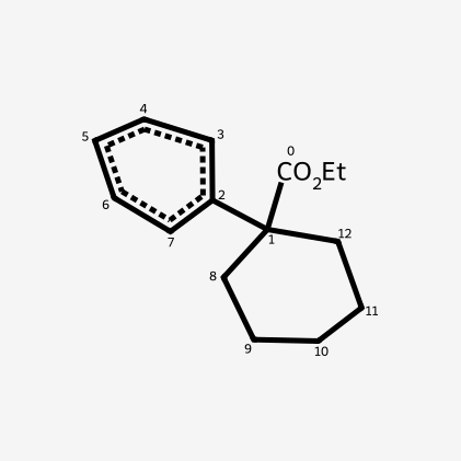 CCOC(=O)C1(c2ccccc2)CCCCC1